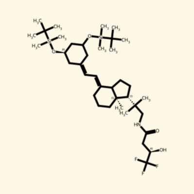 CC(C)(CNC(=O)C[C@@H](O)C(F)(F)F)[C@H]1CCC2C(=CC=C3CC(O[Si](C)(C)C(C)(C)C)C[C@H](O[Si](C)(C)C(C)(C)C)C3)CCC[C@@]21C